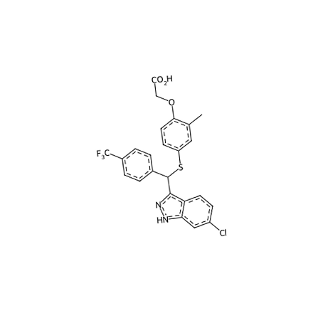 Cc1cc(SC(c2ccc(C(F)(F)F)cc2)c2n[nH]c3cc(Cl)ccc23)ccc1OCC(=O)O